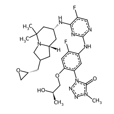 C[C@@H](O)COc1cc(F)c(Nc2ncc(F)c(N[C@@H]3C[C@@H]4CC(C[C@@H]5CO5)CN4C(C)(C)C3)n2)cc1-n1nnn(C)c1=O